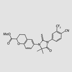 COC(=O)C1CCc2cc(N3C(=S)N(c4ccc(C#N)c(C(F)(F)F)c4)C(=O)C3(C)C)ccc2O1